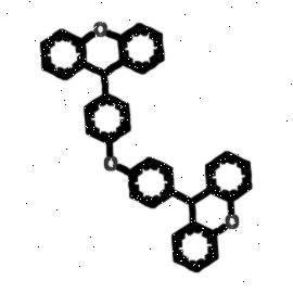 c1ccc2c(c1)Oc1ccccc1C2c1ccc(Oc2ccc(C3c4ccccc4Oc4ccccc43)cc2)cc1